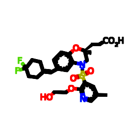 Cc1cnc(OCCO)c(S(=O)(=O)N2C[C@H](CCC(=O)O)Oc3ccc(C=C4CCC(F)(F)CC4)cc32)c1